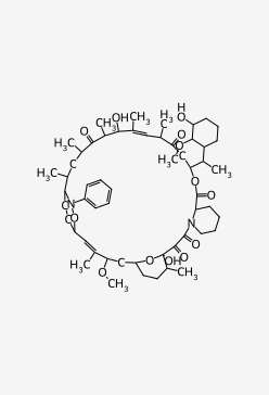 COC1CC2CCC(C)C(O)(O2)C(=O)C(=O)N2CCCCC2C(=O)OC(C(C)C2CCCC(O)C2OC)CC(=O)C(C)/C=C(\C)C(O)C(C)C(=O)C(C)CC(C)C2CCC(/C=C/1C)ON2c1ccccc1